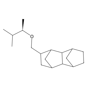 CC(C)[C@@H](C)OCC1CC2CC1C1C3CCC(C3)C21